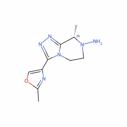 Cc1nc(-c2nnc3n2CCN(N)[C@H]3C)co1